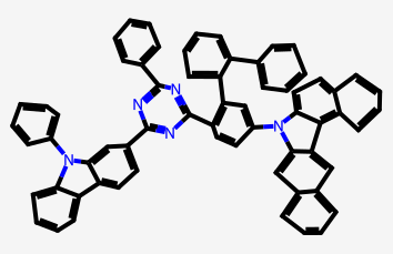 c1ccc(-c2nc(-c3ccc4c5ccccc5n(-c5ccccc5)c4c3)nc(-c3ccc(-n4c5cc6ccccc6cc5c5c6ccccc6ccc54)cc3-c3ccccc3-c3ccccc3)n2)cc1